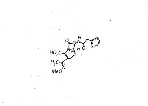 CO/N=C(\C)C1=C(C(=O)O)N2C(=O)[C@@H](NC(=O)Cc3cccs3)[C@H]2SC1